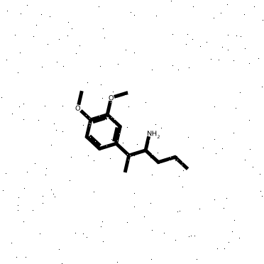 CCCC(N)C(C)c1ccc(OC)c(OC)c1